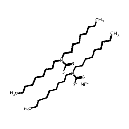 CCCCCCCCCN(CCCCCCCCC)C(=S)[S-].CCCCCCCCCN(CCCCCCCCC)C(=S)[S-].[Ni+2]